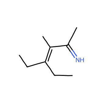 CCC(CC)=C(C)C(C)=N